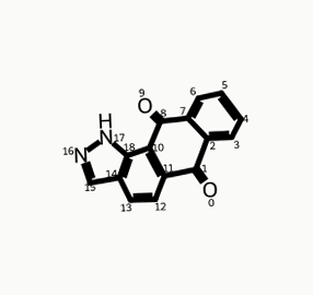 O=C1c2ccccc2C(=O)c2c1ccc1cn[nH]c21